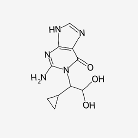 Nc1nc2[nH]cnc2c(=O)n1C(C(O)O)C1CC1